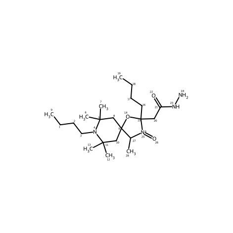 CCCCN1C(C)(C)CC2(CC1(C)C)OC(CCCC)(CC(=O)NN)[N+](=O)C2C